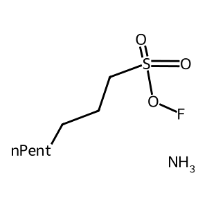 CCCCCCCCS(=O)(=O)OF.N